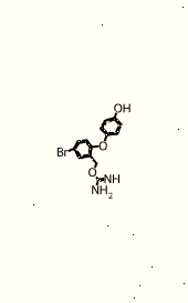 N=C(N)OCc1cc(Br)ccc1Oc1ccc(O)cc1